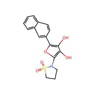 O=S1(=O)CCCN1c1oc(-c2ccc3ccccc3c2)c(O)c1O